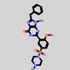 CCCn1c(Cc2ccccc2)nc2c(=O)[nH]c(-c3cc(S(=O)(=O)N4CCN(CC)CC4)ccc3OCC)nc21